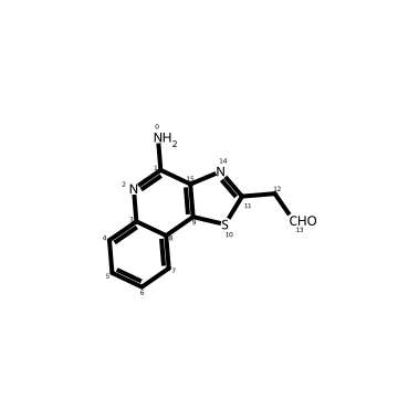 Nc1nc2ccccc2c2sc(CC=O)nc12